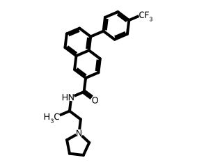 CC(CN1CCCC1)NC(=O)c1ccc2c(-c3ccc(C(F)(F)F)cc3)cccc2c1